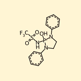 O=S(=O)(N[P]1(O)N(c2ccccc2)CCN1c1ccccc1)C(F)(F)F